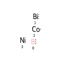 [B].[Bi].[Co].[Ni]